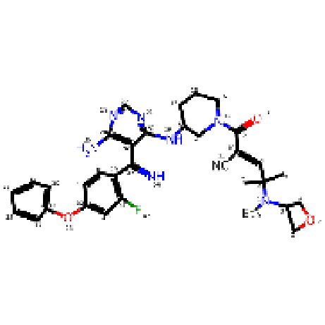 CCN(C1COC1)C(C)(C)/C=C(\C#N)C(=O)N1CCCC(Nc2ncnc(N)c2C(=N)c2ccc(Oc3ccccc3)cc2F)C1